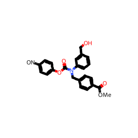 COC(=O)c1ccc(CN(C(=O)Oc2ccc(N=O)cc2)c2cccc(CO)c2)cc1